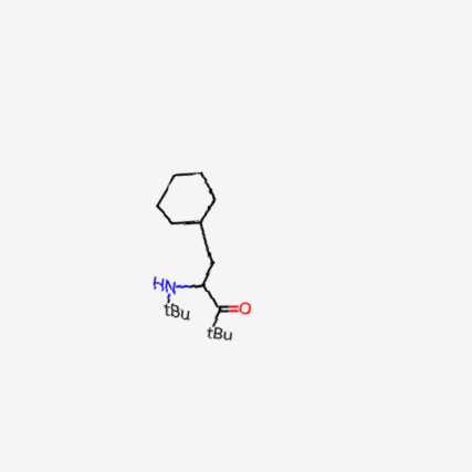 CC(C)(C)NC(CC1CCCCC1)C(=O)C(C)(C)C